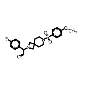 COc1ccc(S(=O)(=O)N2CCC3(CC2)CN(C(C=O)c2ccc(F)cc2)C3)cc1